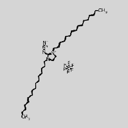 CCCCCCCCCCCCCCCCN1CC[N+](CCCCCCCCCCCCCCCC)=C1N=[N+]=[N-].F[P-](F)(F)(F)(F)F